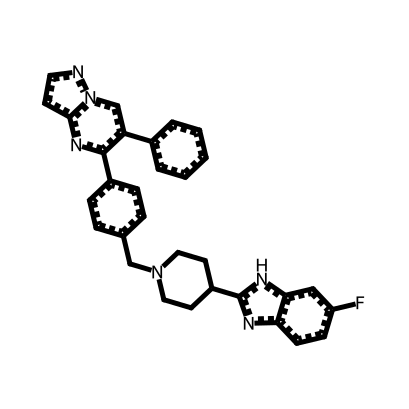 Fc1ccc2nc(C3CCN(Cc4ccc(-c5nc6ccnn6cc5-c5ccccc5)cc4)CC3)[nH]c2c1